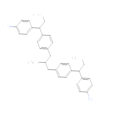 CCCCCCCCCCCC(c1ccc(N)cc1)c1ccc(CC(CCCCCCCCC)Cc2ccc(C(CCCCCCCCCCC)c3ccc(N)cc3)cc2)cc1